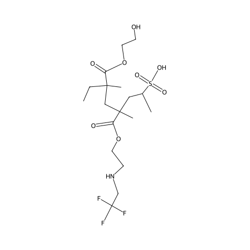 CCC(C)(CC(C)(CC(C)S(=O)(=O)O)C(=O)OCCNCC(F)(F)F)C(=O)OCCO